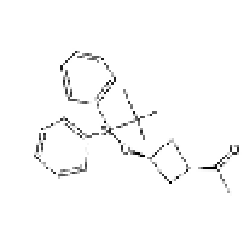 CC(=O)[C@H]1C[C@@H](O[Si](c2ccccc2)(c2ccccc2)C(C)(C)C)C1